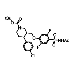 CC(=O)NS(=O)(=O)c1cc(F)c(OCC2CN(C(=O)OC(C)(C)C)CCC2c2ccc(Cl)cc2)cc1F